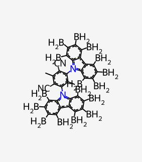 Bc1c(B)c(B)c2c(c1B)c1c(B)c(B)c(B)c(B)c1n2-c1c(C)c(-n2c3c(B)c(B)c(B)c(B)c3c3c(B)c(B)c(B)c(B)c32)c(C#N)c(C)c1C#N